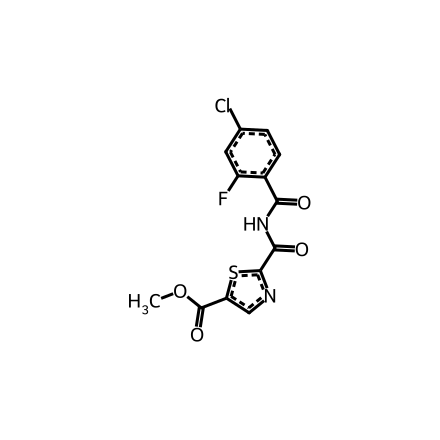 COC(=O)c1cnc(C(=O)NC(=O)c2ccc(Cl)cc2F)s1